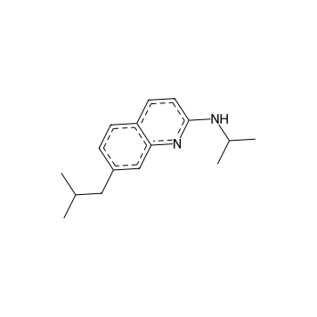 CC(C)Cc1ccc2ccc(NC(C)C)nc2c1